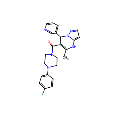 CC1=C(C(=O)N2CCN(c3ccc(F)cc3)CC2)C(c2cccnc2)n2nccc2N1